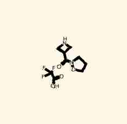 O=C(C1CNC1)N1CCCO1.O=C(O)C(F)(F)F